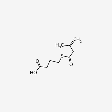 C=C(C)CC(=O)SCCCC(=O)O